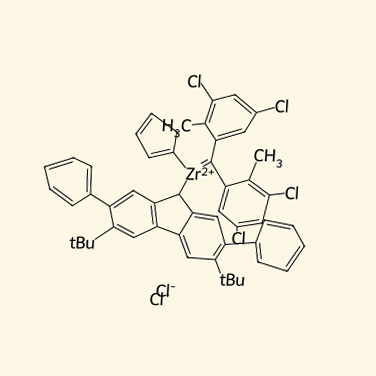 Cc1c(Cl)cc(Cl)cc1[C](c1cc(Cl)cc(Cl)c1C)=[Zr+2]([C]1=CC=CC1)[CH]1c2cc(-c3ccccc3)c(C(C)(C)C)cc2-c2cc(C(C)(C)C)c(-c3ccccc3)cc21.[Cl-].[Cl-]